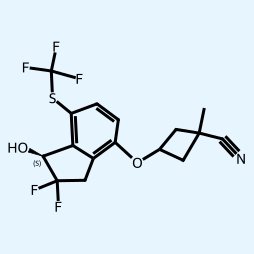 CC1(C#N)CC(Oc2ccc(SC(F)(F)F)c3c2CC(F)(F)[C@H]3O)C1